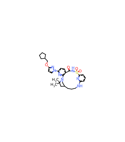 CC1(C)CC2CCCNc3cccc(n3)S(=O)(=O)NC(=O)c3ccc(-n4ccc(OCC5CCCC5)n4)nc3N1C2